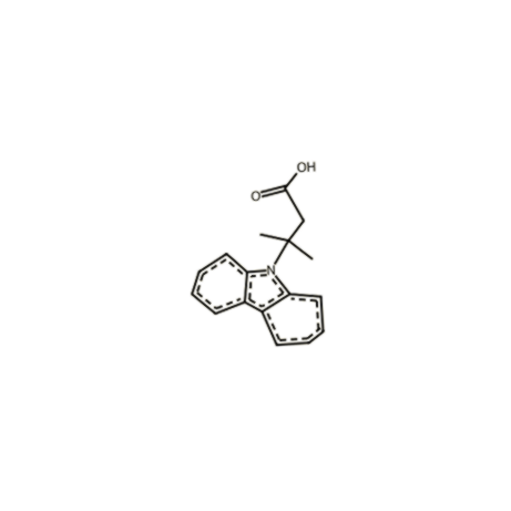 CC(C)(CC(=O)O)n1c2ccccc2c2ccccc21